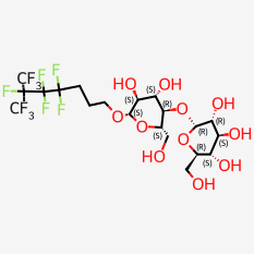 OC[C@@H]1O[C@H](OCCCC(F)(F)C(F)(F)C(F)(C(F)(F)F)C(F)(F)F)[C@@H](O)[C@H](O)[C@H]1O[C@H]1O[C@H](CO)[C@@H](O)[C@H](O)[C@H]1O